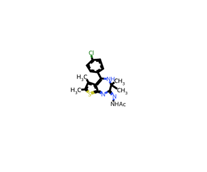 CC(=O)NN=C1N=c2sc(C)c(C)c2=C(c2ccc(Cl)cc2)NC1(C)C